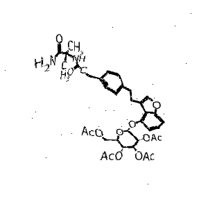 CC(=O)OC[C@H]1O[C@@H](Oc2cccc3occ(CCc4ccc(CCC(=O)NC(C)(C)C(N)=O)cc4)c23)[C@H](OC(C)=O)[C@@H](OC(C)=O)[C@@H]1OC(C)=O